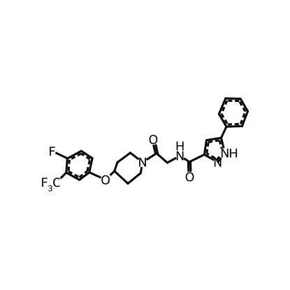 O=C(NCC(=O)N1CCC(Oc2ccc(F)c(C(F)(F)F)c2)CC1)c1cc(-c2ccccc2)[nH]n1